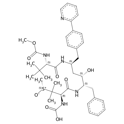 COC(=O)N[C@H](C(=O)N[C@@H](Cc1ccc(-c2ccccn2)cc1)C[C@H](O)[C@H](Cc1ccccc1)NC(=O)[C@@H](NC(=O)O)C(C)(C)[S@@+](C)[O-])C(C)(C)C